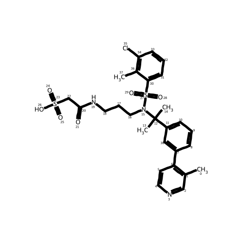 Cc1cnccc1-c1cccc(C(C)(C)N(CCCNC(=O)CS(=O)(=O)O)S(=O)(=O)c2cccc(Cl)c2C)c1